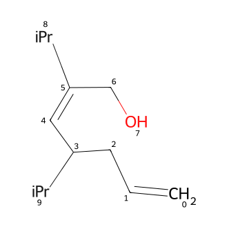 C=CCC(C=C(CO)C(C)C)C(C)C